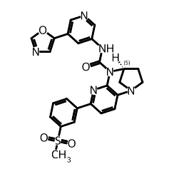 CS(=O)(=O)c1cccc(-c2ccc3c(n2)N(C(=O)Nc2cncc(-c4cnco4)c2)[C@H]2CCN3C2)c1